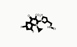 CCNCC1CCN(c2c(C(=O)O)c(=O)c3cc(F)cc(F)c3n2C2CC2)C1